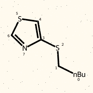 CCCCCSc1cscn1